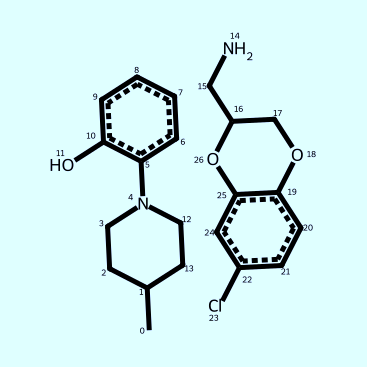 CC1CCN(c2ccccc2O)CC1.NCC1COc2ccc(Cl)cc2O1